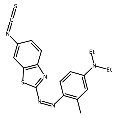 CCN(CC)c1ccc(/N=N\c2nc3ccc(N=C=S)cc3s2)c(C)c1